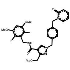 COCc1nn(Cc2ccc(Cn3ccccc3=O)cc2)cc1C(=O)NCc1c(F)c(OC)cc(OC)c1F